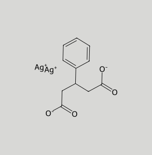 O=C([O-])CC(CC(=O)[O-])c1ccccc1.[Ag+].[Ag+]